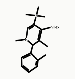 CCCCCCC1=C(C)C(c2ccccc2C)N(C)C=C1[Si](C)(C)C